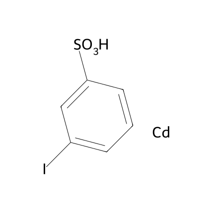 O=S(=O)(O)c1cccc(I)c1.[Cd]